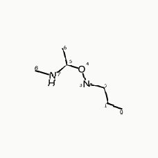 CCC[N]OC(C)NC